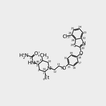 CC[C@H]1C[C@@H](NC(N)=O)C(C)CN1CCOc1ccc(Oc2nc3cccc(Cl)c3s2)cc1